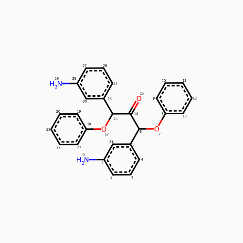 Nc1cccc(C(Oc2ccccc2)C(=O)C(Oc2ccccc2)c2cccc(N)c2)c1